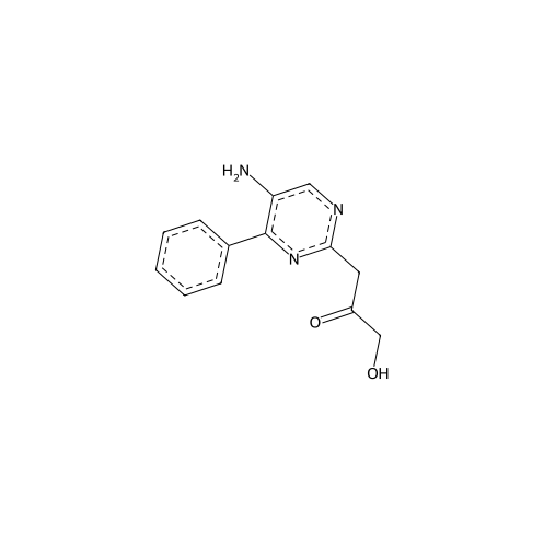 Nc1cnc(CC(=O)CO)nc1-c1ccccc1